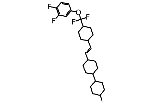 CC1CCC(C2CCC(/C=C/C3CCC(C(F)(F)Oc4ccc(F)c(F)c4)CC3)CC2)CC1